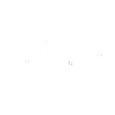 COC(=O)CN1CCOCC1